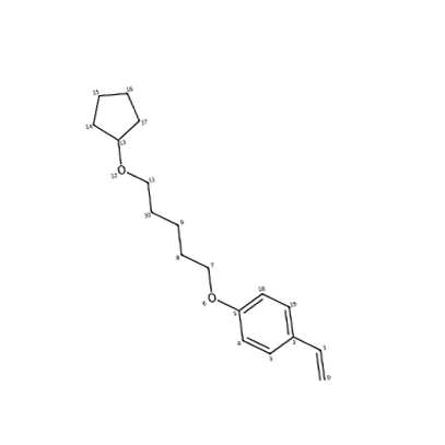 C=Cc1ccc(OCCCCCOC2CCCC2)cc1